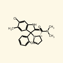 COc1ccccc1C1(N2CCC[C@H]2C(=O)N(C)C)C(=O)Nc2cc(Cl)c(C)cc21